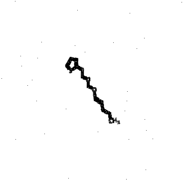 CCC/C=C/OCOCCc1cccs1